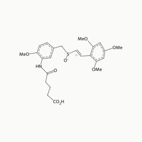 COc1cc(OC)c(/C=C/[S+]([O-])Cc2ccc(OC)c(NC(=O)CCCC(=O)O)c2)c(OC)c1